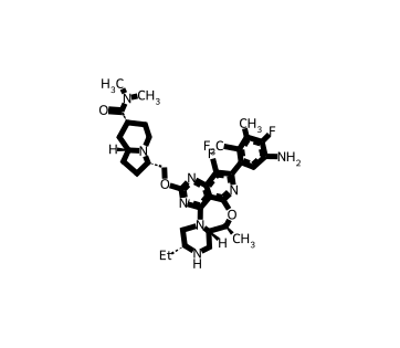 CC[C@@H]1CN2c3nc(OC[C@@H]4CC[C@@H]5C[C@H](C(=O)N(C)C)CCN54)nc4c(F)c(-c5cc(N)c(F)c(C)c5C(F)(F)F)nc(c34)O[C@@H](C)[C@@H]2CN1